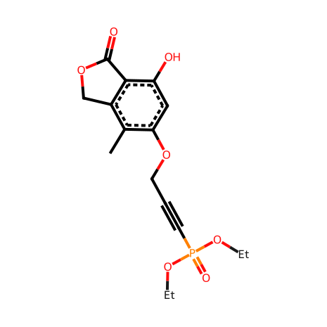 CCOP(=O)(C#CCOc1cc(O)c2c(c1C)COC2=O)OCC